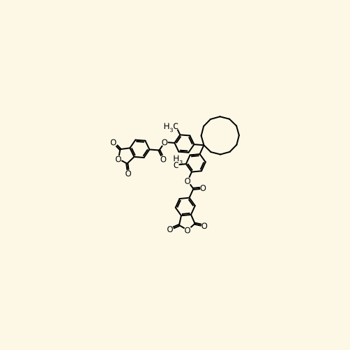 Cc1cc(C2(c3ccc(OC(=O)c4ccc5c(c4)C(=O)OC5=O)c(C)c3)CCCCCCCCCCC2)ccc1OC(=O)c1ccc2c(c1)C(=O)OC2=O